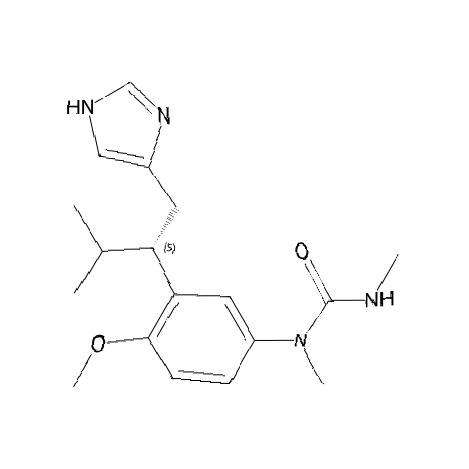 CNC(=O)N(C)c1ccc(OC)c([C@@H](Cc2c[nH]cn2)C(C)C)c1